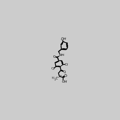 C[C@H](CC(=O)c1c(Cl)cc(C(=O)NCc2cccc(O)c2)cc1Cl)C(=O)O